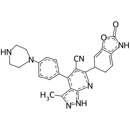 Cc1n[nH]c2nc(C3C=c4oc(=O)[nH]c4=CC3)c(C#N)c(-c3ccc(N4CCNCC4)cc3)c12